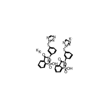 O=C(Nc1cccc(Sn2ncnn2)c1)c1ccccc1S(=O)(=O)O.O=C(Nc1cccc(Sn2ncnn2)c1)c1ccccc1S(=O)(=O)O.[K].[K].[K]